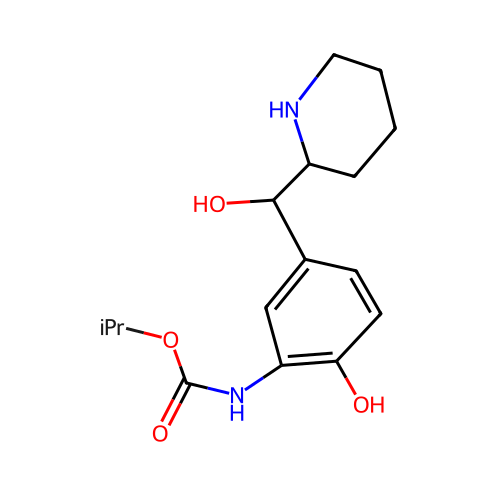 CC(C)OC(=O)Nc1cc(C(O)C2CCCCN2)ccc1O